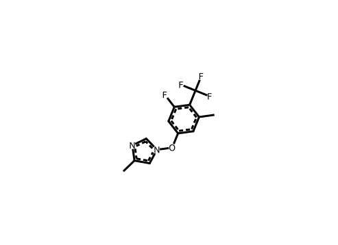 Cc1cn(Oc2cc(C)c(C(F)(F)F)c(F)c2)cn1